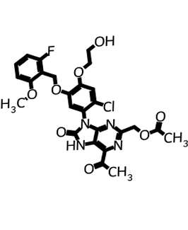 COc1cccc(F)c1COc1cc(-n2c(=O)[nH]c3c(C(C)=O)nc(COC(C)=O)nc32)c(Cl)cc1OCCO